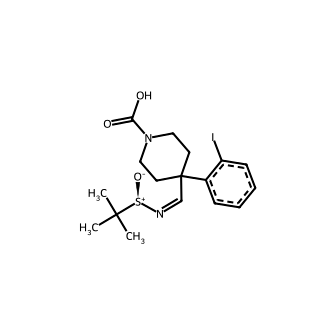 CC(C)(C)[S@@+]([O-])/N=C\C1(c2ccccc2I)CCN(C(=O)O)CC1